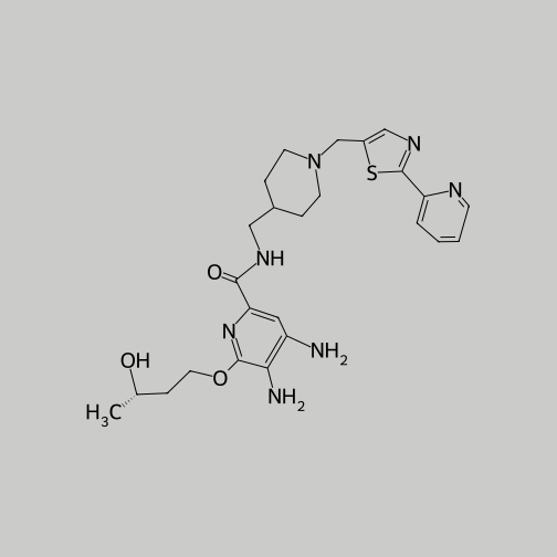 C[C@H](O)CCOc1nc(C(=O)NCC2CCN(Cc3cnc(-c4ccccn4)s3)CC2)cc(N)c1N